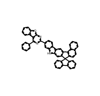 c1ccc(-c2nc(-c3ccc4c(c3)[nH]c3cc5c(cc34)-c3c(ccc4ccccc34)C53c4ccccc4-c4ccccc43)nc3oc4ccccc4c23)cc1